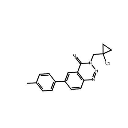 Cc1ccc(-c2ccc3nnn(CC4(C#N)CC4)c(=O)c3c2)cc1